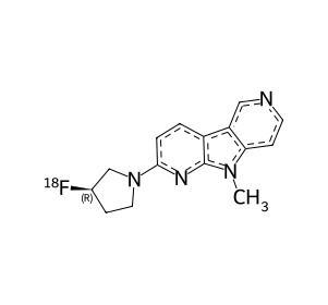 Cn1c2ccncc2c2ccc(N3CC[C@@H]([18F])C3)nc21